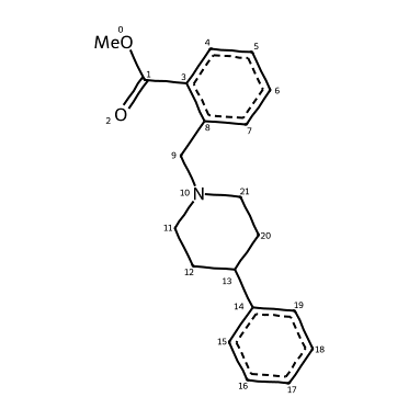 COC(=O)c1ccccc1CN1CCC(c2ccccc2)CC1